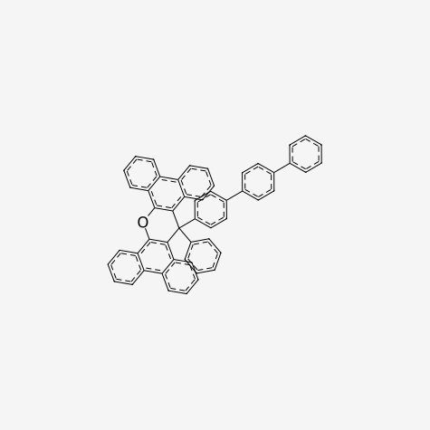 c1ccc(-c2ccc(-c3ccc(C4(c5ccccc5)c5c(c6ccccc6c6ccccc56)Oc5c4c4ccccc4c4ccccc54)cc3)cc2)cc1